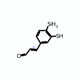 O=C/C=C/c1ccc([SiH3])c(S)c1